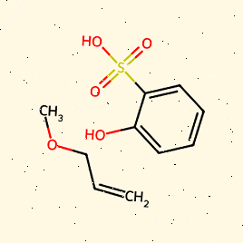 C=CCOC.O=S(=O)(O)c1ccccc1O